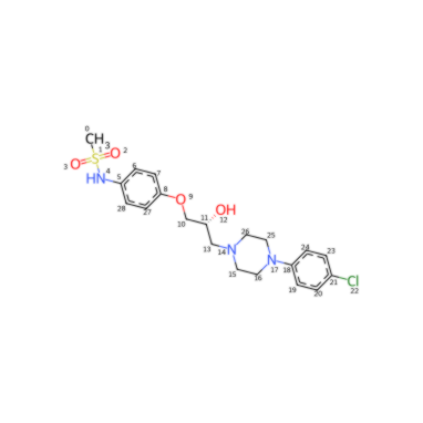 CS(=O)(=O)Nc1ccc(OC[C@H](O)CN2CCN(c3ccc(Cl)cc3)CC2)cc1